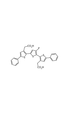 O=C(O)Cc1cc(-c2ccccc2)sc1-c1cc(F)c(-c2sc(-c3ccccc3)cc2CC(=O)O)s1